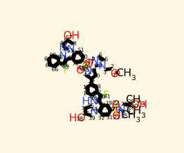 COCCn1ccnc1[C@@H]1CC(c2ccc3[nH]c(-c4cc(S(=O)(=O)N(C)CC(C)(C)O)ccc4N4CC[C@H](O)C4)c(F)c3c2)CN1S(=O)(=O)c1ccc(N2CC[C@H](O)C2)c(-c2[nH]c3ccccc3c2F)c1